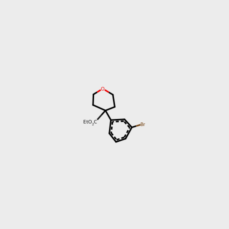 CCOC(=O)C1(c2cccc(Br)c2)CCOCC1